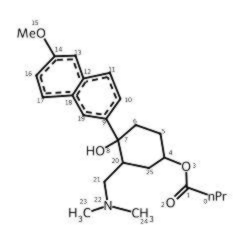 CCCC(=O)OC1CCC(O)(c2ccc3cc(OC)ccc3c2)C(CN(C)C)C1